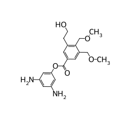 COCc1cc(C(=O)Oc2cc(N)cc(N)c2)cc(CCO)c1COC